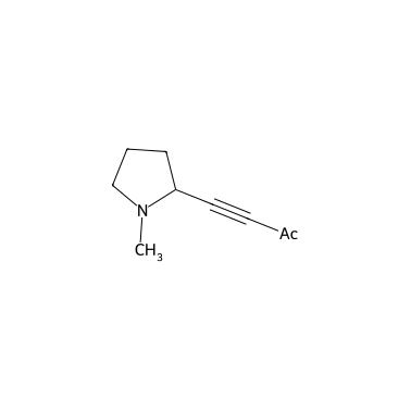 CC(=O)C#CC1CCCN1C